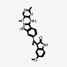 COc1ccc2c(c1)[C@]1(C[C@H]1c1ccc3c(Nc4nc(C)ncc4OC)n[nH]c3c1)C(=O)N2